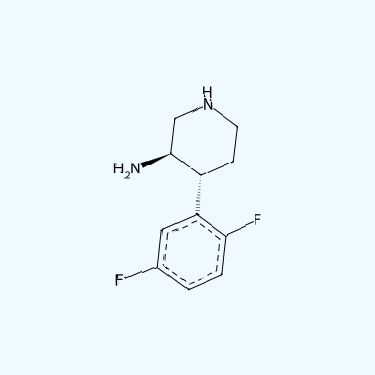 N[C@H]1CNCC[C@@H]1c1cc(F)ccc1F